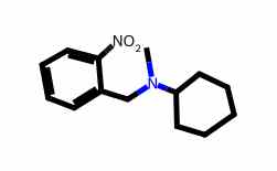 CN(Cc1ccccc1[N+](=O)[O-])C1CCCCC1